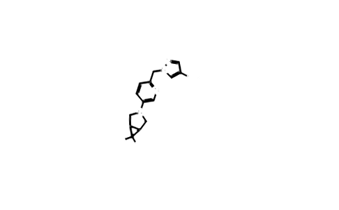 O=C(O)c1cnn(Cc2ccc(N3CC4C(C3)C4(F)F)cn2)c1